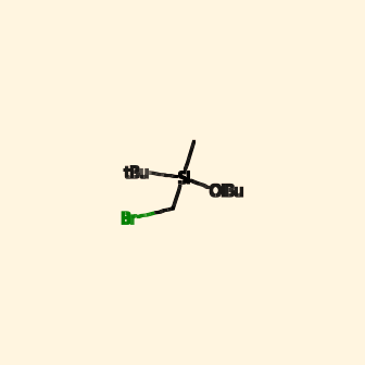 CC(C)CO[Si](C)(CBr)C(C)(C)C